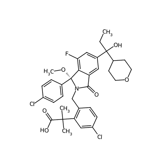 CCC(O)(c1cc(F)c2c(c1)C(=O)N(Cc1ccc(Cl)cc1C(C)(C)C(=O)O)[C@@]2(OC)c1ccc(Cl)cc1)C1CCOCC1